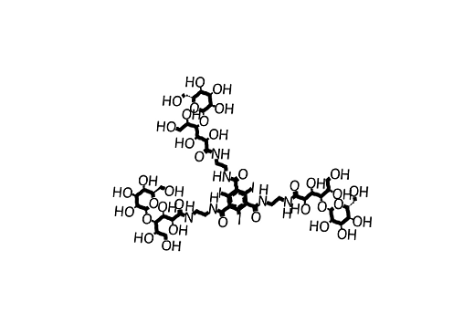 O=C(NCCNC(=O)[C@H](O)[C@@H](O)[C@H](O[C@@H]1O[C@H](CO)[C@H](O)[C@H](O)[C@H]1O)[C@H](O)CO)c1c(I)c(C(=O)NCCNC(=O)[C@H](O)[C@@H](O)[C@H](O[C@@H]2O[C@H](CO)[C@H](O)[C@H](O)[C@H]2O)[C@H](O)CO)c(I)c(C(=O)NCCNC(=O)[C@H](O)[C@@H](O)[C@H](O[C@@H]2O[C@H](CO)[C@H](O)[C@H](O)[C@H]2O)[C@H](O)CO)c1I